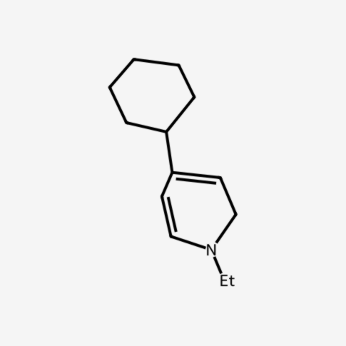 CCN1C=CC(C2CCCCC2)=CC1